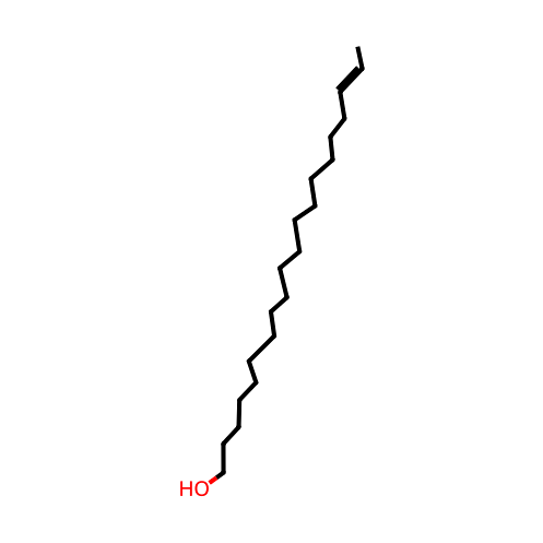 CC=CCCCCCCCCCCCCCCCCCO